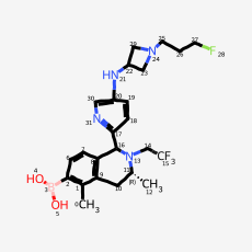 Cc1c(B(O)O)ccc2c1C[C@@H](C)N(CC(F)(F)F)C2c1ccc(NC2CN(CCCF)C2)cn1